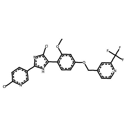 COc1cc(OCc2ccnc(C(F)(F)F)c2)ccc1-c1[nH]c(-c2ccc(Cl)nc2)nc1Cl